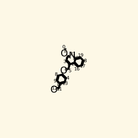 COc1cc(COc2ccc(C=O)cc2)c2ccccc2n1